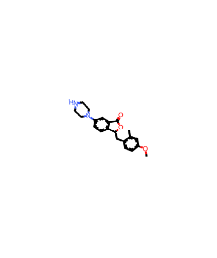 COc1ccc(CC2OC(=O)c3cc(N4CCNCC4)ccc32)c(C)c1